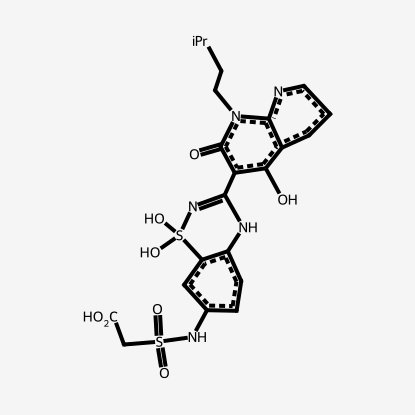 CC(C)CCn1c(=O)c(C2=NS(O)(O)c3cc(NS(=O)(=O)CC(=O)O)ccc3N2)c(O)c2cccnc21